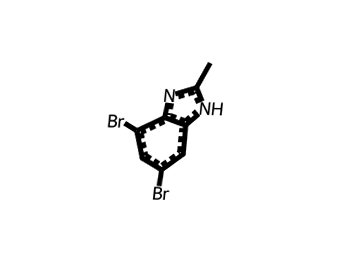 Cc1nc2c(Br)cc(Br)cc2[nH]1